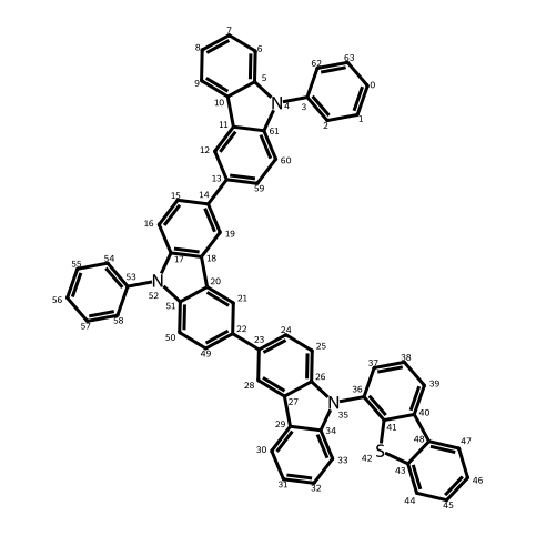 c1ccc(-n2c3ccccc3c3cc(-c4ccc5c(c4)c4cc(-c6ccc7c(c6)c6ccccc6n7-c6cccc7c6sc6ccccc67)ccc4n5-c4ccccc4)ccc32)cc1